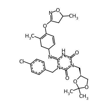 CC1=C(OC2=NOC(C)C2)C=CC(/N=c2\[nH]c(=O)n(C[C@H]3COC(C)(C)O3)c(=O)n2Cc2ccc(Cl)cc2)C1